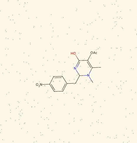 CC(=O)OC1=C(C)N(C)C(Cc2ccc([N+](=O)[O-])cc2)N=C1O